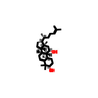 CC(C)=CCC[C@@H](C)[C@H]1CC[C@H]2[C@@H]3CC=C4C(C)(C)[C@@H](O)CC[C@]4(C)[C@H]3[C@@H](O)C[C@]12C